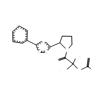 CC(=O)OC(C)(C)C(=O)N1CCCC1c1nnc(-c2ccccc2)o1